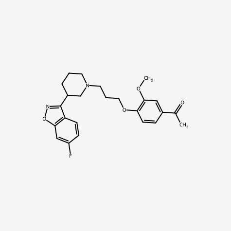 COc1cc(C(C)=O)ccc1OCCCN1CCCC(c2noc3cc(F)ccc23)C1